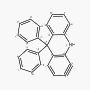 c1ccc2c(c#1)Nc1ccccc1C2(c1ccccc1)c1ccccc1